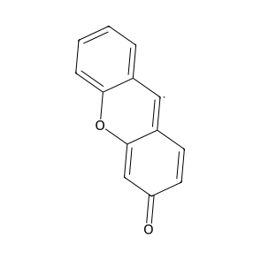 O=c1ccc2[c]c3ccccc3oc-2c1